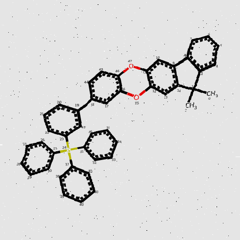 CC1(C)c2ccccc2-c2cc3c(cc21)Oc1cc(-c2cccc(S(c4ccccc4)(c4ccccc4)c4ccccc4)c2)ccc1O3